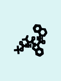 CC(C)[C@H](NC(=O)OC(C)(C)C)C(=O)N1Cc2ccccc2C1C(=O)N[C@@H]1CCCc2ccccc21